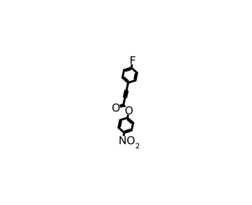 O=C(C#Cc1ccc(F)cc1)Oc1ccc([N+](=O)[O-])cc1